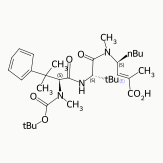 CCCC[C@@H](/C=C(\C)C(=O)O)N(C)C(=O)[C@@H](NC(=O)[C@@H](N(C)C(=O)OC(C)(C)C)C(C)(C)c1ccccc1)C(C)(C)C